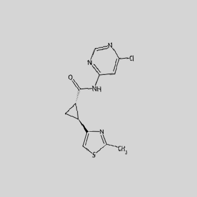 Cc1nc([C@H]2C[C@@H]2C(=O)Nc2cc(Cl)ncn2)cs1